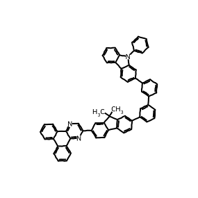 CC1(C)c2cc(-c3cccc(-c4cccc(-c5ccc6c7ccccc7n(-c7ccccc7)c6c5)c4)c3)ccc2-c2ccc(-c3cnc4c5ccccc5c5ccccc5c4n3)cc21